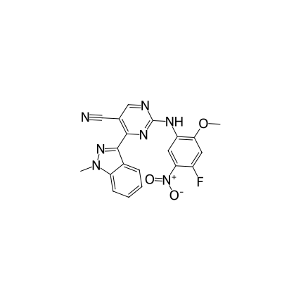 COc1cc(F)c([N+](=O)[O-])cc1Nc1ncc(C#N)c(-c2nn(C)c3ccccc23)n1